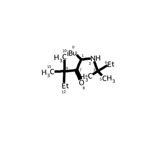 CCC(C)C(NC(C)(C)CC)C(=O)C(C)(C)CC